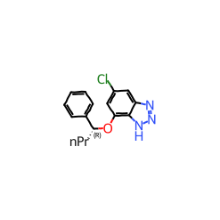 CCC[C@@H](Oc1cc(Cl)cc2nn[nH]c12)c1ccccc1